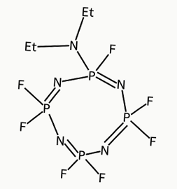 CCN(CC)P1(F)=NP(F)(F)=NP(F)(F)=NP(F)(F)=N1